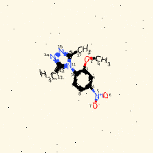 COc1cc([N+](=O)[O-])ccc1-n1c(C)nnc1C